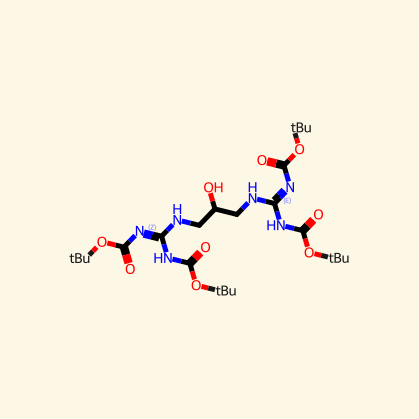 CC(C)(C)OC(=O)/N=C(/NCC(O)CN/C(=N\C(=O)OC(C)(C)C)NC(=O)OC(C)(C)C)NC(=O)OC(C)(C)C